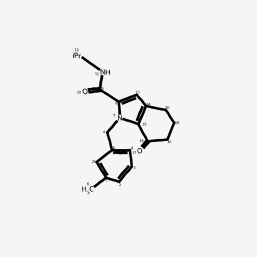 Cc1cccc(Cn2c(C(=O)NC(C)C)cc3c2C(=O)CCC3)c1